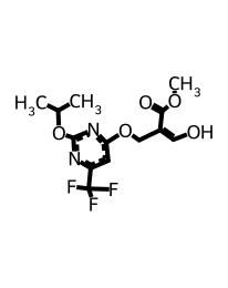 COC(=O)C(=CO)COc1cc(C(F)(F)F)nc(OC(C)C)n1